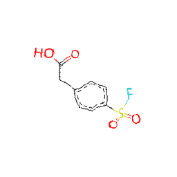 O=C(O)Cc1ccc(S(=O)(=O)F)cc1